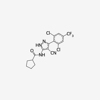 N#Cc1c(-c2c(Cl)cc(C(F)(F)F)cc2Cl)n[nH]c1NC(=O)C1CCCC1